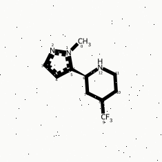 Cn1nccc1[C@@H]1CC(C(F)(F)F)CCN1